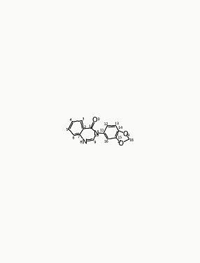 O=c1c2ccccc2ncn1-c1ccc2c(c1)OCO2